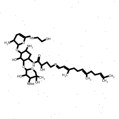 CNC1C(O)C(OC2C(NC(=O)C(O)CC/N=C/C=C(\C)CC/C=C(\C)CCC=C(C)C)CC(N)C(OC3OC(CNCCO)=CCC3N)C2O)OCC1(C)O